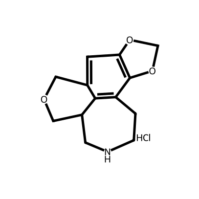 Cl.c1c2c3c(c4c1OCO4)CCNCC3COC2